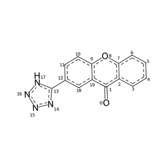 O=c1c2ccccc2oc2ccc(-c3nnn[nH]3)cc12